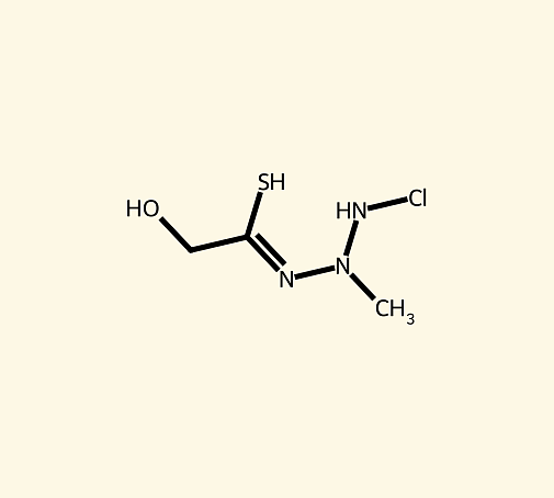 CN(/N=C(\S)CO)NCl